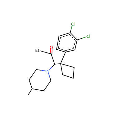 CCC(=O)C(N1CCC(C)CC1)C1(c2ccc(Cl)c(Cl)c2)CCC1